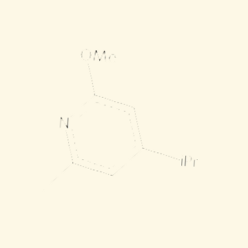 COc1cc(C(C)C)cc(C)n1